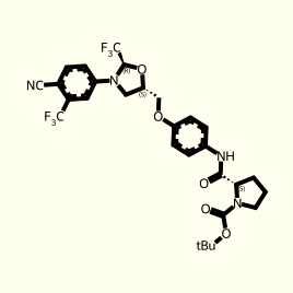 CC(C)(C)OC(=O)N1CCC[C@H]1C(=O)Nc1ccc(OC[C@@H]2CN(c3ccc(C#N)c(C(F)(F)F)c3)[C@@H](C(F)(F)F)O2)cc1